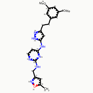 COc1cc(CCc2cc(Nc3ccnc(NCc4cc(C)on4)n3)[nH]n2)cc(OC)c1